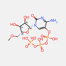 COC[C@H]1O[C@@H](n2cc(OP(=O)(O)OP(=O)(O)OP(=O)(O)O)c(N)nc2=O)[C@H](O)[C@@H]1O